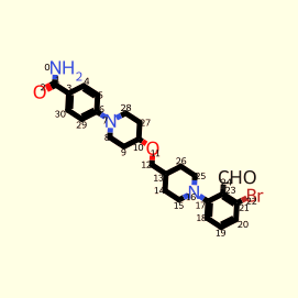 NC(=O)c1ccc(N2CCC(OCC3CCN(c4cccc(Br)c4C=O)CC3)CC2)cc1